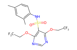 Cc1ccc(NS(=O)(=O)c2c(OCC(F)(F)F)ncnc2OCC(F)(F)F)c(C)c1